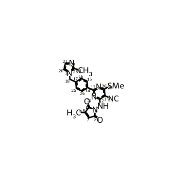 [C-]#[N+]c1c(NN2C(=O)C=C(C)C2=O)nc(-c2ccc(Cn3ccnc3C)cc2)nc1SC